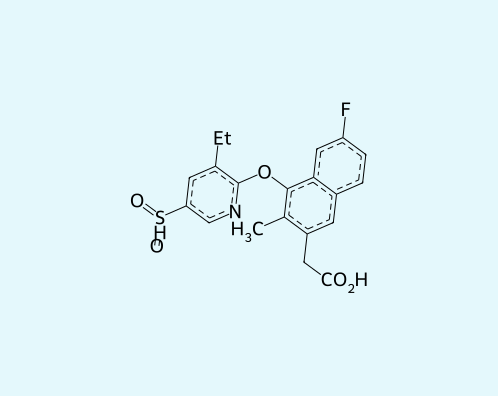 CCc1cc([SH](=O)=O)cnc1Oc1c(C)c(CC(=O)O)cc2ccc(F)cc12